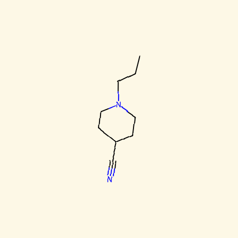 CCCN1CCC(C#N)CC1